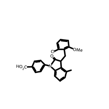 COc1cccc(Cl)c1CC1C(=O)N(c2ccc(C(=O)O)cc2)c2cccc(C)c21